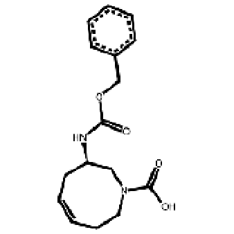 O=C(N[C@@H]1C/C=C\CCN(C(=O)O)C1)OCc1ccccc1